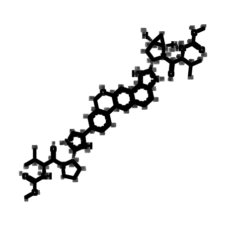 COC(=O)N[C@H](C(=O)N1CCC[C@H]1c1ncc(-c2ccc3c(c2)COc2cc4c(ccc5nc([C@@H]6C[C@H]7C[C@H]7N6C(=O)[C@@H](NC(=O)OC)C(C)C)[nH]c54)cc2-3)[nH]1)C(C)C